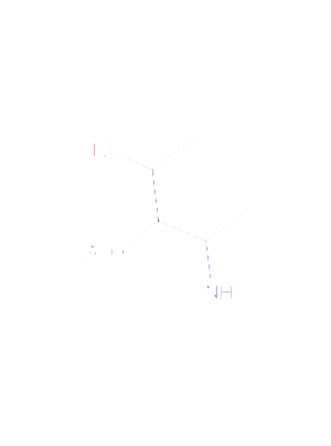 CC(=O)OC(C(C)N)C(C)O